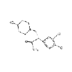 CC(=O)[C@H](CN1CCC(O)CC1)c1ccc(Cl)c(Cl)c1